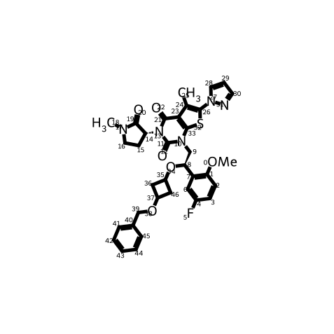 COc1ccc(F)cc1[C@H](Cn1c(=O)n([C@@H]2CCN(C)C2=O)c(=O)c2c(C)c(-n3cccn3)sc21)OC1CC(OCc2ccccc2)C1